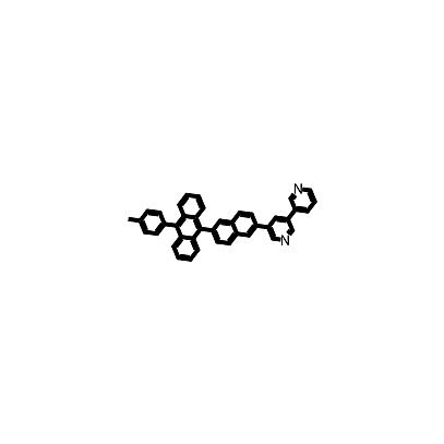 Cc1ccc(-c2c3ccccc3c(-c3ccc4cc(-c5cncc(-c6cccnc6)c5)ccc4c3)c3ccccc23)cc1